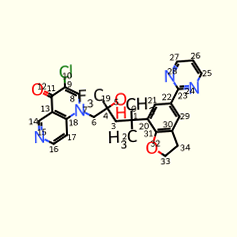 CC(C)(CC(O)(Cn1cc(Cl)c(=O)c2cnccc21)C(F)(F)F)c1cc(-c2ncccn2)cc2c1OCC2